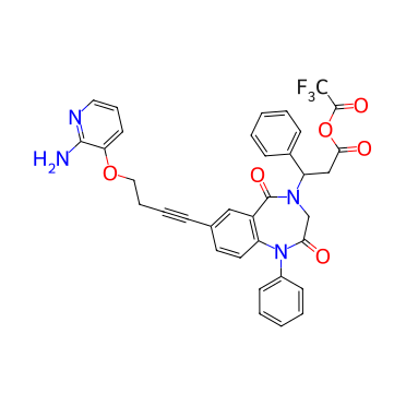 Nc1ncccc1OCCC#Cc1ccc2c(c1)C(=O)N(C(CC(=O)OC(=O)C(F)(F)F)c1ccccc1)CC(=O)N2c1ccccc1